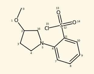 COC1CCN(c2ccccc2S(=O)(=O)Cl)C1